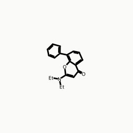 CCN(CC)c1cc(=O)c2cccc(-c3ccccc3)c2o1